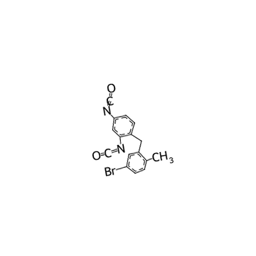 Cc1ccc(Br)cc1Cc1ccc(N=C=O)cc1N=C=O